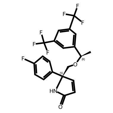 C[C@@H](OC[C@@]1(c2ccc(F)cc2)C=CC(=O)N1)c1cc(C(F)(F)F)cc(C(F)(F)F)c1